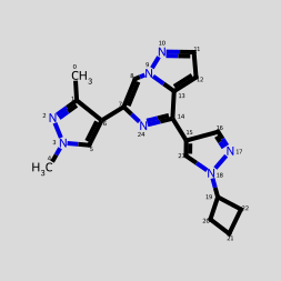 Cc1nn(C)cc1-c1cn2nccc2c(-c2cnn(C3CCC3)c2)n1